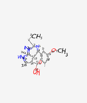 CCc1nc(-c2cccc(OC)c2)c2c(C(=O)O)c[nH]c2n1